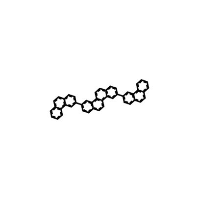 c1ccc2c(c1)ccc1ccc(-c3ccc4ccc5c6cc(-c7ccc8ccc9ccccc9c8c7)ccc6ccc5c4c3)cc12